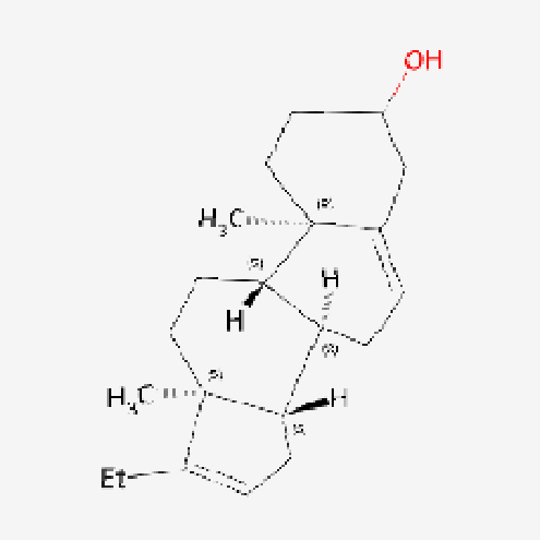 CCC1=CC[C@H]2[C@@H]3CC=C4CC(O)CC[C@]4(C)[C@H]3CC[C@]12C